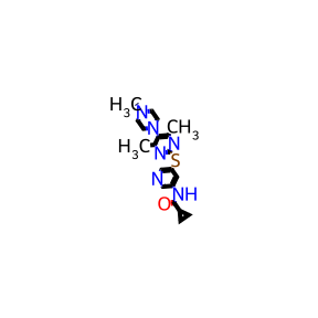 Cc1nc(Sc2cncc(NC(=O)C3CC3)c2)nc(C)c1N1CCN(C)CC1